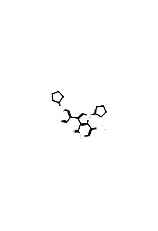 N#Cc1c[nH]c(=O)c2c(/C(C=N)=C/NC3CCCC3)cn(C3CCCC3)c12